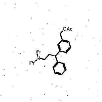 CC(=O)OCc1cc[c]c([C@H](CCN(C(C)C)C(C)C)c2ccccc2)c1